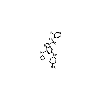 N[C@H]1CC[C@H](Nc2cc(NC3CCC3)c3ncc(C(=O)Nc4ccncc4F)n3n2)CC1